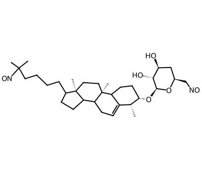 C[C@@H]1C2=CCC3C4CCC(CCCCC(C)(C)N=O)[C@@]4(C)CC[C@@]3(C)C2CC[C@@H]1O[C@@H]1O[C@H](CN=O)C[C@H](O)[C@H]1O